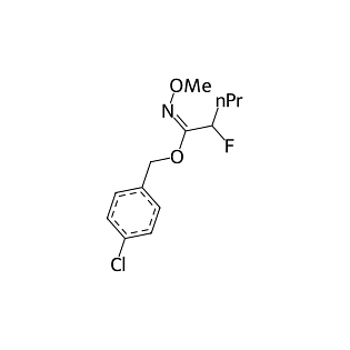 CCCC(F)C(=NOC)OCc1ccc(Cl)cc1